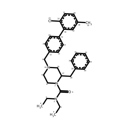 CCN(CC)C(=O)N1CCN(Cc2ccc(-c3cc(C)ccc3Cl)cc2)CC1Cc1ccccc1